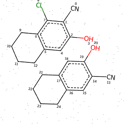 N#Cc1c(O)cc2c(c1Cl)CCCC2.N#Cc1cc2c(cc1O)CCCC2